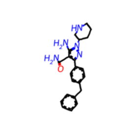 NC(=O)c1c(-c2ccc(Cc3ccccc3)cc2)nn(C2CCCNC2)c1N